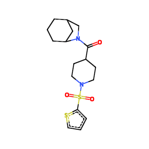 O=C(C1CCN(S(=O)(=O)c2cccs2)CC1)N1CC2CCCC1C2